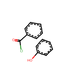 O=C(Cl)c1ccccc1.Oc1ccccc1